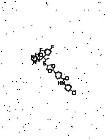 C[C@@H](S[C@H]1CO[C@H](c2ccc(C(=O)Nc3ccc(Cl)cc3)cc2)OC1)[C@](O)(Cn1cncn1)c1ccc(F)cc1F